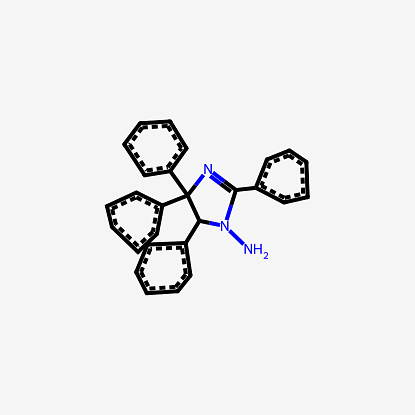 NN1C(c2ccccc2)=NC(c2ccccc2)(c2ccccc2)C1c1ccccc1